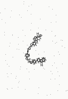 O=C1CCC(N2Cc3ccc(OCCOCC#Cc4ccc(O[C@H]5C[C@H](Oc6ccc(-c7ccc8c(c7)[nH]c7ccncc78)cn6)C5)cn4)cc3C2=O)C(=O)N1